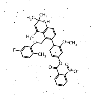 COC1=CC(OC(=O)c2ccccc2[N+](=O)[O-])=CCC1c1ccc2c(c1COc1cc(F)ccc1C)C(C)=CC(C)(C)N2